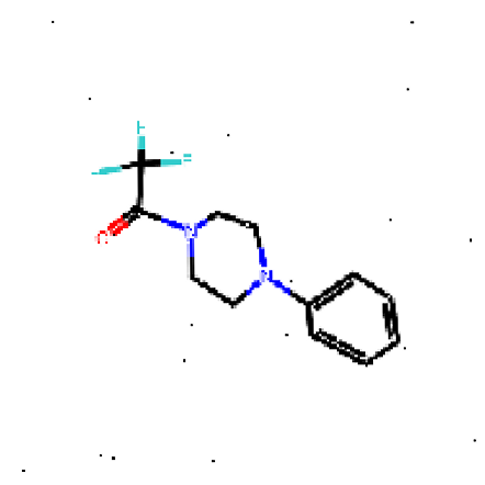 O=C(N1CCN(c2[c]cccc2)CC1)C(F)(F)F